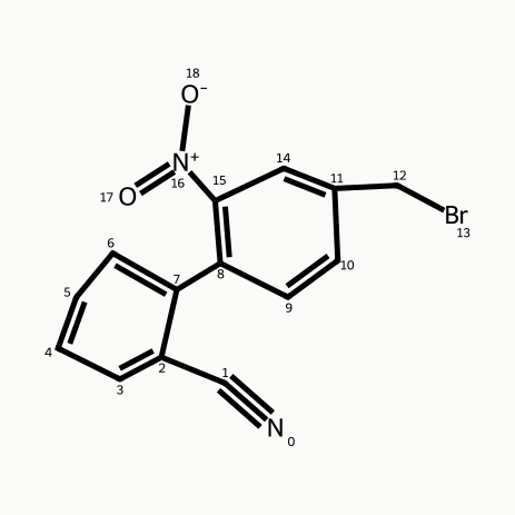 N#Cc1ccccc1-c1ccc(CBr)cc1[N+](=O)[O-]